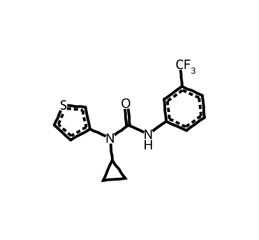 O=C(Nc1cccc(C(F)(F)F)c1)N(c1ccsc1)C1CC1